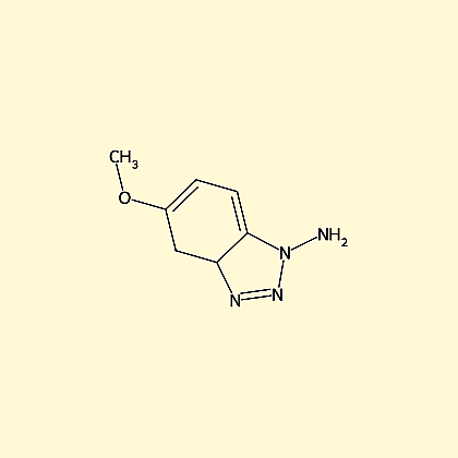 COC1=CC=C2C(C1)N=NN2N